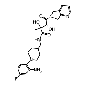 C[C@](O)(C(=O)NCC1CCN(c2ccc(F)cc2N)CC1)[C@@H](O)C(=O)N1Cc2cccnc2C1